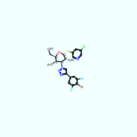 CC(=O)OC[C@H]1O[C@H](Sc2cncc(Cl)c2)[C@H](OC(C)=O)[C@@H](n2cc(-c3cc(F)c(Br)c(F)c3)nn2)[C@H]1OC(C)=O